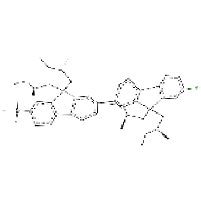 CC[C@H](C)CC1(C[C@@H](C)CC)c2cc(Br)ccc2-c2ccc(-c3ccc4c(c3)C(C[C@@H](C)CC)(C[C@@H](C)CC)c3cc([Si](C)(C)C)ccc3-4)cc21